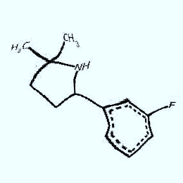 CC1(C)CCC(c2cccc(F)c2)N1